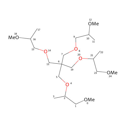 COCC(C)OCC(COCC(C)OC)(COCC(C)OC)COC(C)COC